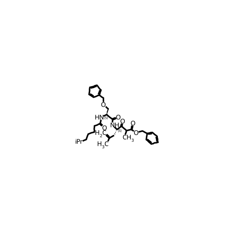 C=C(C)C[C@H](NC(=O)[C@H](COCc1ccccc1)NC(=O)CCCCC(C)C)C(=O)C(C)C(=O)OCc1ccccc1